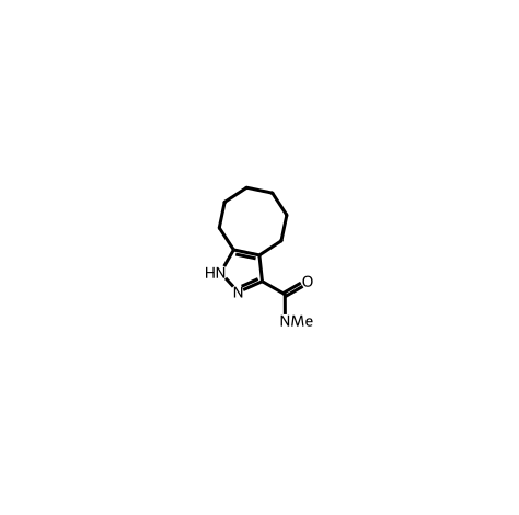 CNC(=O)c1n[nH]c2c1CCCCCC2